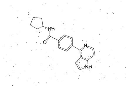 O=C(NC1CCCC1)c1ccc(-c2nccc3[nH]ccc23)cc1